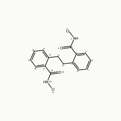 O=C(NCl)c1ccccc1CCc1ccccc1C(=O)NCl